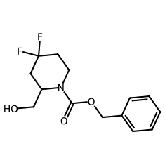 O=C(OCc1ccccc1)N1CCC(F)(F)CC1CO